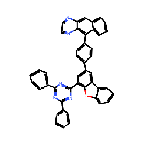 c1ccc(-c2nc(-c3ccccc3)nc(-c3cc(-c4ccc(-c5c6ccccc6cc6nccnc56)cc4)cc4c3oc3ccccc34)n2)cc1